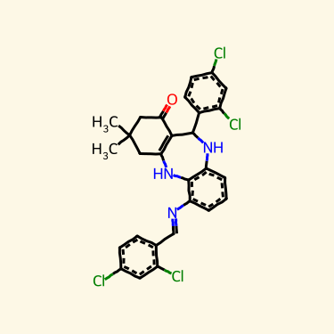 CC1(C)CC(=O)C2=C(C1)Nc1c(/N=C/c3ccc(Cl)cc3Cl)cccc1NC2c1ccc(Cl)cc1Cl